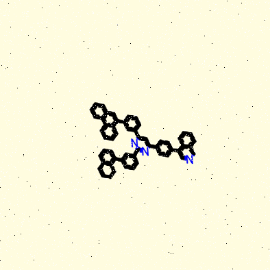 C1=Cc2cccc(-c3cccc(-c4nc(-c5ccc(-c6cncc7ccccc67)cc5)cc(-c5cccc(-c6cc7ccccc7c7ccccc67)c5)n4)c3)c2CC1